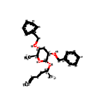 C=CCC[C@@H](C)O[C@@H]1O[C@@H](C)[C@H](OCc2ccccc2)C[C@@H]1OCc1ccccc1